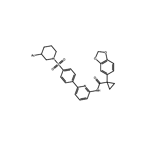 CC(=O)C1CCCN(S(=O)(=O)c2ccc(-c3cccc(NC(=O)C4(c5ccc6c(c5)OCO6)CC4)n3)cc2)C1